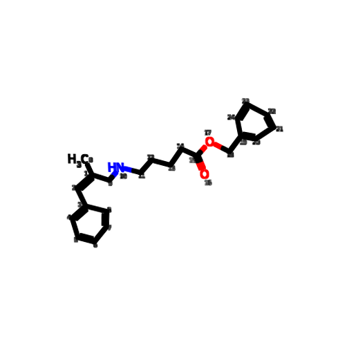 CC(=Cc1ccccc1)CNCCCCC(=O)OCc1ccccc1